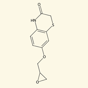 O=C1CSc2cc(OCC3CO3)ccc2N1